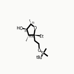 CC[C@]1(CCO[Si](C)(C)C(C)(C)C)O[C@@H](C)[C@H](O)[C@H]1C